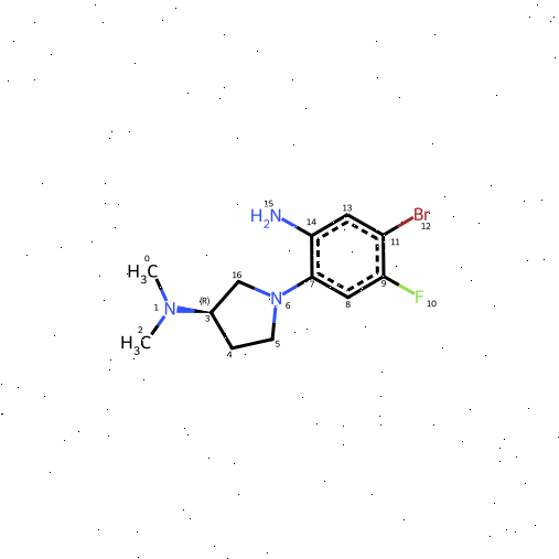 CN(C)[C@@H]1CCN(c2cc(F)c(Br)cc2N)C1